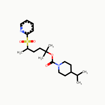 CC(C)C1CCN(C(=O)OC(C)(C)CCC(C)S(=O)(=O)c2ccccn2)CC1